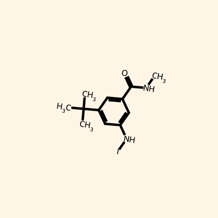 CNC(=O)c1cc(NI)cc(C(C)(C)C)c1